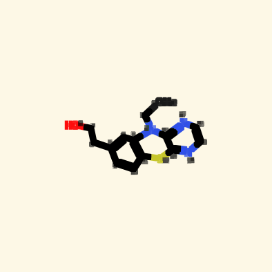 COCN1c2cc(CCO)ccc2Sc2nccnc21